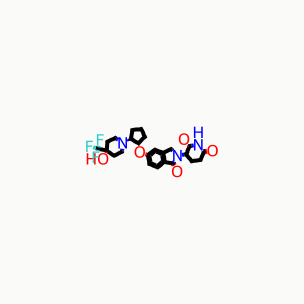 O=C1CCC(N2Cc3cc(O[C@H]4CCC[C@@H]4N4CCC(O)(C(F)(F)F)CC4)ccc3C2=O)C(=O)N1